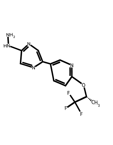 C[C@@H](Oc1ccc(-c2cnc(NN)cn2)cn1)C(F)(F)F